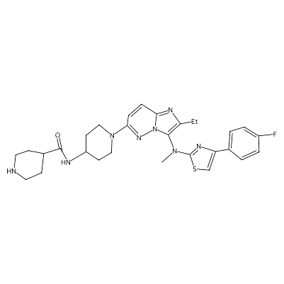 CCc1nc2ccc(N3CCC(NC(=O)C4CCNCC4)CC3)nn2c1N(C)c1nc(-c2ccc(F)cc2)cs1